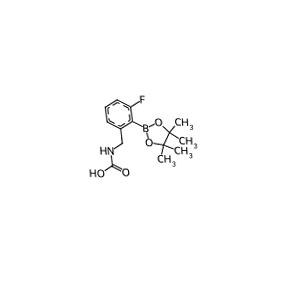 CC1(C)OB(c2c(F)cccc2CNC(=O)O)OC1(C)C